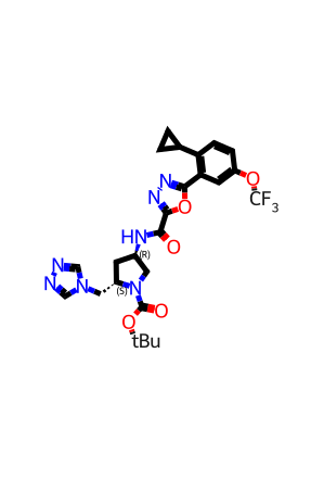 CC(C)(C)OC(=O)N1C[C@H](NC(=O)c2nnc(-c3cc(OC(F)(F)F)ccc3C3CC3)o2)C[C@H]1Cn1cnnc1